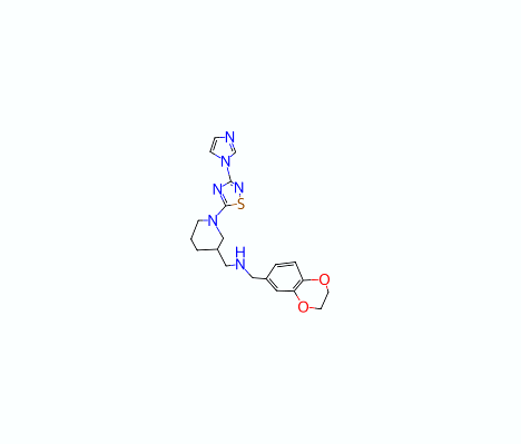 c1cn(-c2nsc(N3CCCC(CNCc4ccc5c(c4)OCCO5)C3)n2)cn1